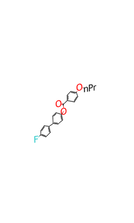 CCCOc1ccc(C(=O)Oc2ccc(-c3ccc(F)cc3)cc2)cc1